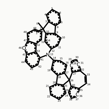 CC1(C)c2ccccc2-c2ccc(N(c3ccc4c(c3)-c3ccccc3C43c4ccccc4C=Cc4ccccc43)c3cccc4oc5ccccc5c34)cc21